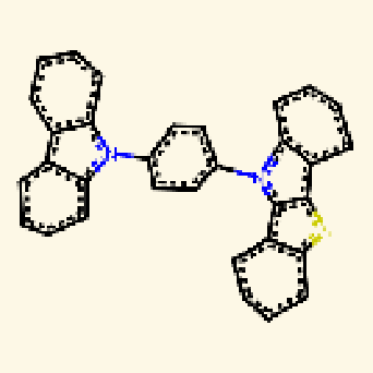 c1ccc2c(c1)sc1c3ccccc3n(-c3ccc(-n4c5ccccc5c5ccccc54)cc3)c21